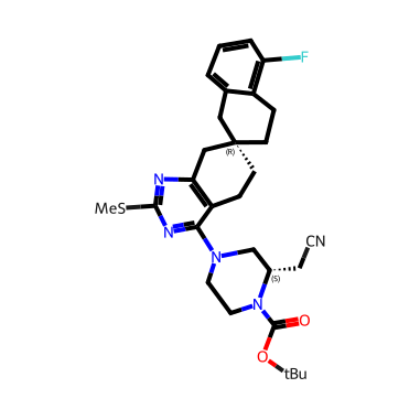 CSc1nc2c(c(N3CCN(C(=O)OC(C)(C)C)[C@@H](CC#N)C3)n1)CC[C@]1(CCc3c(F)cccc3C1)C2